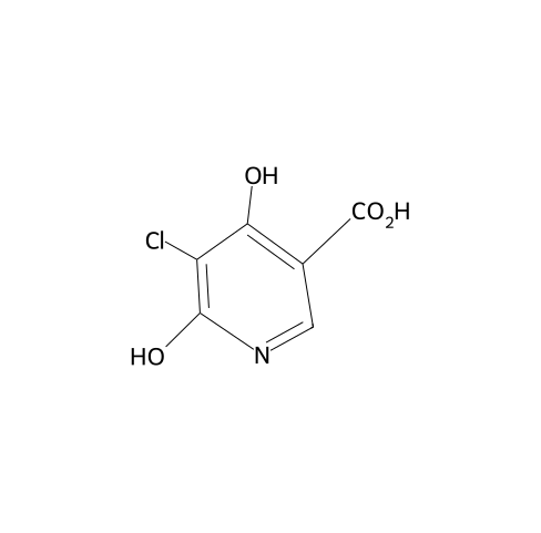 O=C(O)c1cnc(O)c(Cl)c1O